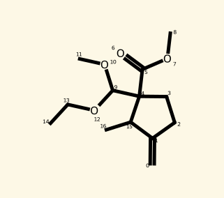 C=C1CCC(C(=O)OC)(C(OC)OCC)C1C